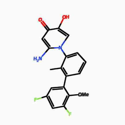 COc1c(F)cc(F)cc1-c1cccc(-n2cc(O)c(=O)cc2N)c1C